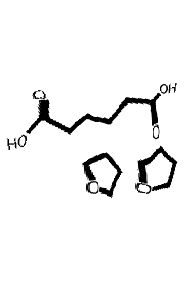 C1CCOC1.C1CCOC1.O=C(O)CCCCC(=O)O